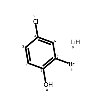 Oc1ccc(Cl)cc1Br.[LiH]